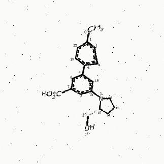 Cc1ccc(-c2cc(C(=O)O)cc(N3CCC[C@@H]3CO)c2)cc1